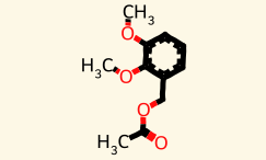 COc1cccc(COC(C)=O)c1OC